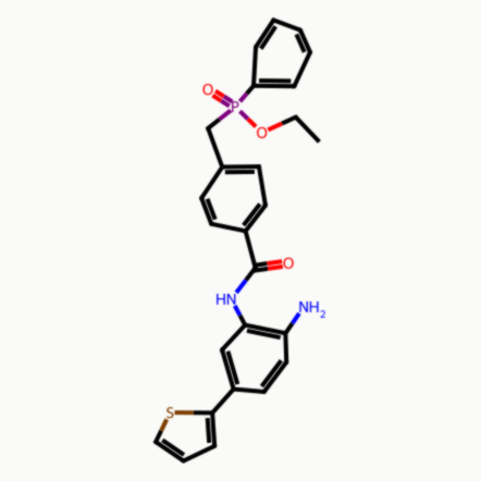 CCOP(=O)(Cc1ccc(C(=O)Nc2cc(-c3cccs3)ccc2N)cc1)c1ccccc1